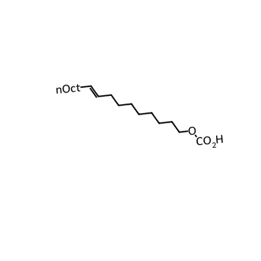 CCCCCCCCC=CCCCCCCCCOC(=O)O